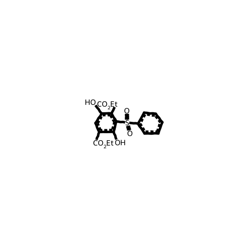 CCOC(=O)c1cc(O)c(C(=O)OCC)c(S(=O)(=O)c2ccccc2)c1O